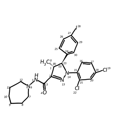 C[C@H]1C(C(=O)NN2CCCCCC2)=NN(c2ccc(Cl)cc2Cl)[C@@H]1c1ccc(I)cc1